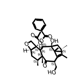 CC(=O)O[C@@]12CO[C@@H]1C[C@H](C)[C@@]1(C)C(=O)[C@H](CO)C3=C(C)[C@@H](C)C[C@@](O)([C@@H](OC(=O)c4ccccc4)[C@H]21)C3(C)C